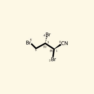 N#C[C@@H](Br)[C@@H](Br)CBr